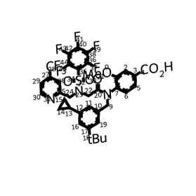 COc1cc(C(=O)O)ccc1N(Cc1cc(C2CC2)cc(C(C)(C)C)c1)C(=O)CN(Cc1cc(C(F)(F)F)ccn1)S(=O)(=O)c1c(F)c(F)c(F)c(F)c1F